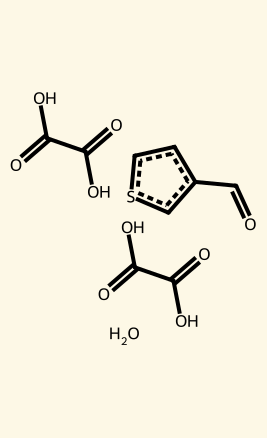 O.O=C(O)C(=O)O.O=C(O)C(=O)O.O=Cc1ccsc1